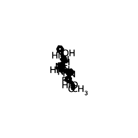 CS(=O)(=O)NCc1cc(F)cc(-c2nccc3[nH]c(-c4n[nH]c5ncc(-c6cncc(NC(O)C7CCCCC7)c6)c(F)c45)nc23)c1